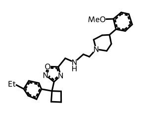 CCc1ccc(C2(c3noc(CNCCN4CCC(c5ccccc5OC)CC4)n3)CCC2)cc1